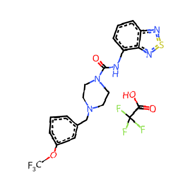 O=C(Nc1cccc2nsnc12)N1CCN(Cc2cccc(OC(F)(F)F)c2)CC1.O=C(O)C(F)(F)F